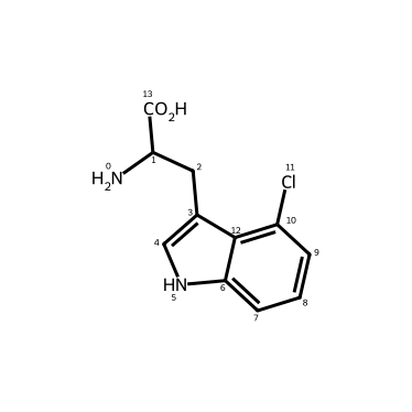 NC(Cc1c[nH]c2cccc(Cl)c12)C(=O)O